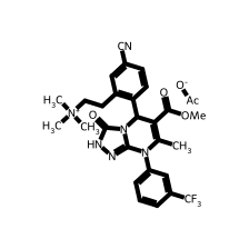 CC(=O)[O-].COC(=O)C1=C(C)N(c2cccc(C(F)(F)F)c2)c2n[nH]c(=O)n2C1c1ccc(C#N)cc1CC[N+](C)(C)C